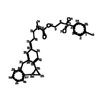 Cc1ccc(S(=O)(=O)CCOC(=O)N(C)CCC=C2C=C3Cc4ccccc4C4CC4C3=CC2)cc1